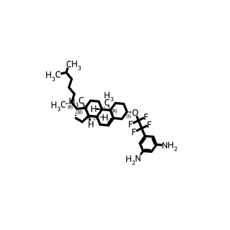 CC(C)CCC[C@@H](C)[C@H]1CC[C@H]2[C@@H]3CC=C4C[C@@H](OC(F)(F)C(F)(F)c5cc(N)cc(N)c5)CC[C@]4(C)[C@H]3CC[C@]12C